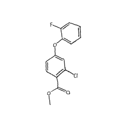 COC(=O)c1ccc(Oc2ccccc2F)cc1Cl